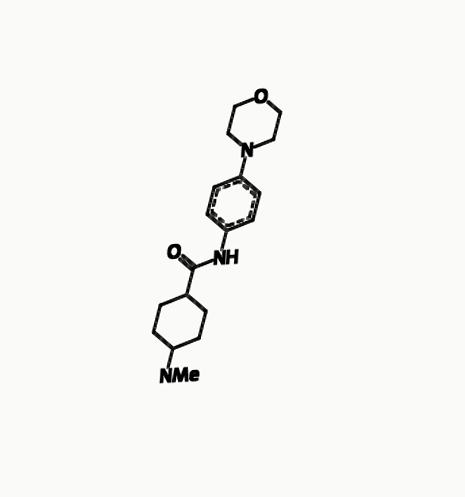 CNC1CCC(C(=O)Nc2ccc(N3CCOCC3)cc2)CC1